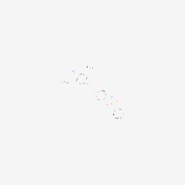 COc1cc(C2Oc3ccc(NS(=O)(=O)c4ccccc4)cc3O2)cc(OC)c1N(C)C